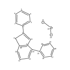 [CH]1C(c2ccccc2)=Cc2c1cccc2-c1ccccc1.[Cl][Zr][Cl]